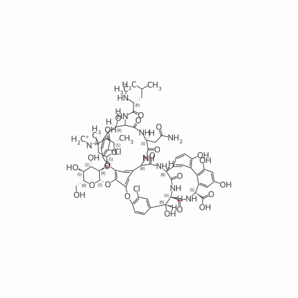 [CH2+][N-][C@@]1(C)C[C@H](O[C@H]2[C@H](Oc3c4cc5cc3Oc3ccc(cc3Cl)[C@@H](O)[C@@H]3NC(=O)[C@H](NC(=O)[C@@H]5NC(=O)[C@H](CC(N)=O)NC(=O)C(NC(=O)[C@@H](CC(C)C)NC)[C@H](O)c5ccc(c(Cl)c5)O4)c4ccc(O)c(c4)-c4c(O)cc(O)cc4[C@@H](C(=O)O)NC3=O)O[C@H](CO)[C@@H](O)[C@@H]2O)O[C@@H](C)[C@H]1O